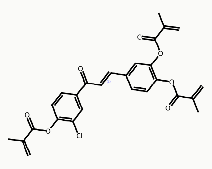 C=C(C)C(=O)Oc1ccc(C(=O)/C=C/c2ccc(OC(=O)C(=C)C)c(OC(=O)C(=C)C)c2)cc1Cl